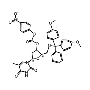 COc1ccc(C(OC[C@H]2O[C@@H](n3cc(C)c(=O)[nH]c3=O)CC2OC(=O)Oc2ccc([N+](=O)[O-])cc2)(c2ccccc2)c2ccc(OC)cc2)cc1